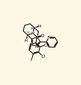 O=C(c1ccc(F)c(Cl)c1Cl)N1[C@@H]2CCC[C@H]1c1nnc(-c3ccccn3)n1C2